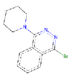 Brc1nnc(N2CC[CH]CC2)c2ccccc12